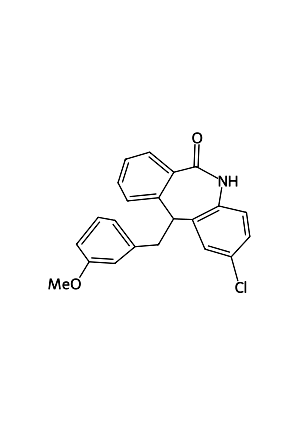 COc1cccc(CC2c3cc(Cl)ccc3NC(=O)c3ccccc32)c1